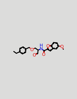 CCc1ccc(COCC(C=O)NC(=O)c2cc3cc(OC)ccc3o2)cc1